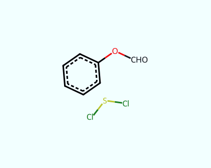 ClSCl.O=COc1ccccc1